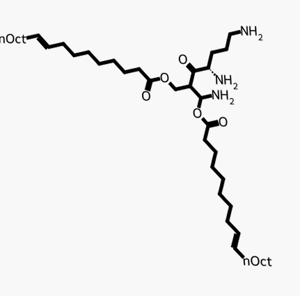 CCCCCCCCC=CCCCCCCCC(=O)OCC(C(=O)[C@@H](N)CCCN)C(N)OC(=O)CCCCCCCC=CCCCCCCCC